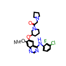 COc1cc2ncnc(Nc3cccc(Cl)c3F)c2cc1OC1CCCN(C(=O)CN2CCCC2)C1